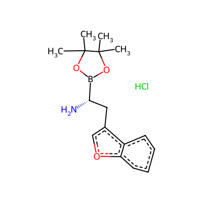 CC1(C)OB([C@@H](N)Cc2coc3ccccc23)OC1(C)C.Cl